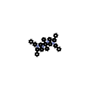 c1ccc(-c2c3c4ccc(N(c5ccc(C6CCCCC6)cc5)c5ccc(C6CCCCC6)cc5)c5c6ccccc6n(c3c(-c3ccccc3)c3c6ccc(N(c7ccc(C8CCCCC8)cc7)c7ccc(C8CCCCC8)cc7)c7c8ccccc8n(c23)c67)c45)cc1